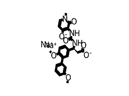 COc1cccc(-c2cc([C@H](CC(=O)[O-])NC(=O)Nc3c([O-])ccn(C)c3=O)ccc2OC)c1.[Na+].[Na+]